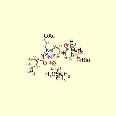 CC(=O)OCCCn1/c(=N/C(=O)c2cccc(C(F)F)c2)n(COCC[Si](C)(C)C)c2cc(N3CCN(C(=O)OC(C)(C)C)C(C)(C)C3=O)ccc21